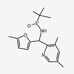 Cc1cnc(C(N[S+]([O-])C(C)(C)C)c2ccc(C)o2)c(C)c1